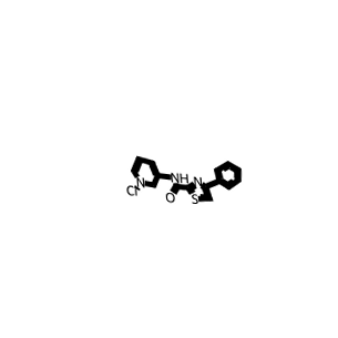 O=C(NC1=CC=CN(Cl)C1)c1nc(-c2ccccc2)cs1